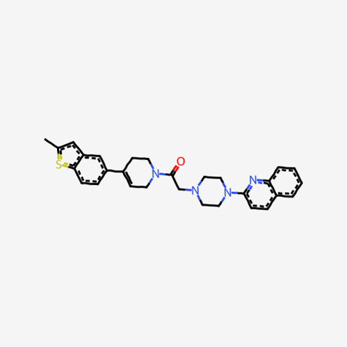 Cc1cc2cc(C3=CCN(C(=O)CN4CCN(c5ccc6ccccc6n5)CC4)CC3)ccc2s1